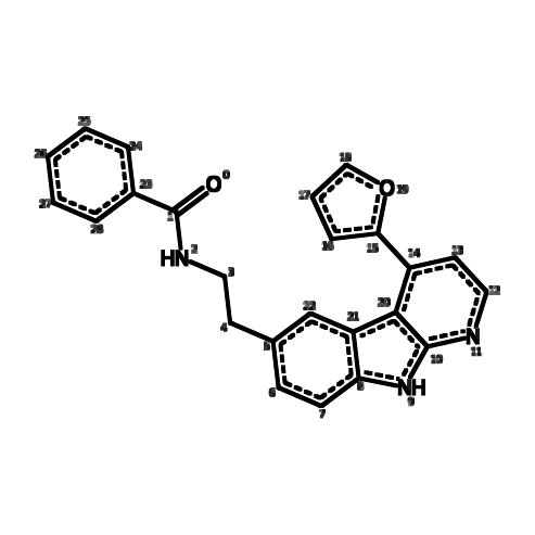 O=C(NCCc1ccc2[nH]c3nccc(-c4ccco4)c3c2c1)c1ccccc1